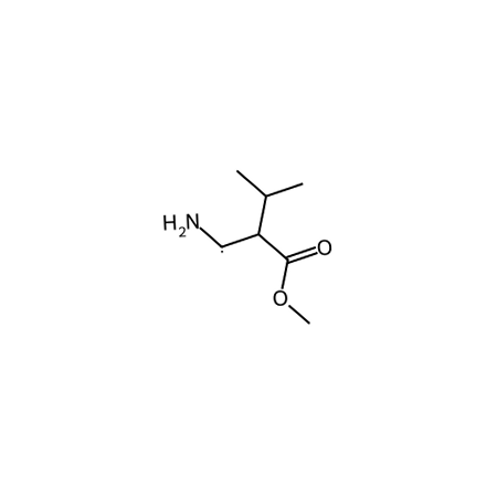 COC(=O)C([CH]N)C(C)C